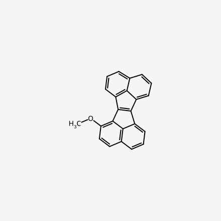 COc1ccc2cccc3c4c5cccc6cccc(c=4c1c23)c65